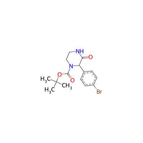 CC(C)(C)OC(=O)N1CCNC(=O)C1c1ccc(Br)cc1